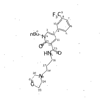 CCCCn1cc(-c2cccc(C(F)(F)F)c2)cc(C(=O)NCCCN2CCOCC2)c1=O